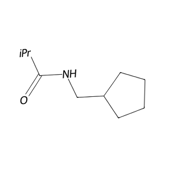 CC(C)C(=O)NCC1CCCC1